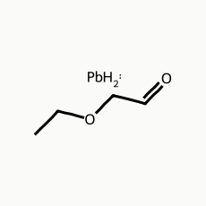 CCOCC=O.[PbH2]